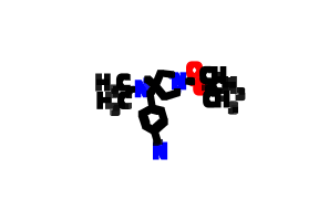 CC(C)N1CC2(CCN(C(=O)OC(C)(C)C)CC2)C1c1ccc(C#N)cc1